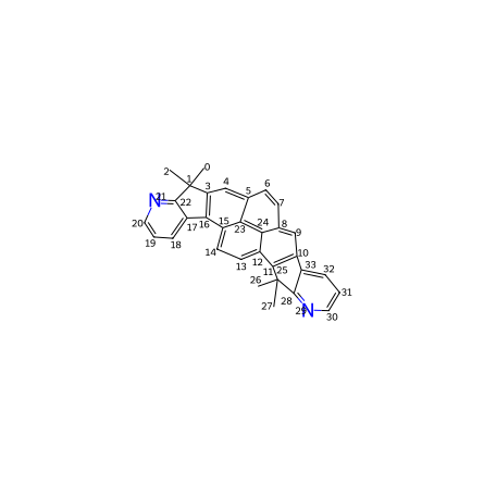 CC1(C)c2cc3ccc4cc5c(c6ccc(c2-c2cccnc21)c3c46)C(C)(C)c1ncccc1-5